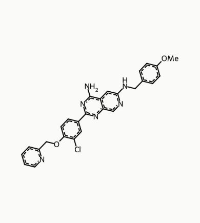 COc1ccc(CNc2cc3c(N)nc(-c4ccc(OCc5ccccn5)c(Cl)c4)nc3cn2)cc1